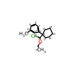 CCOC(Cl)C1(c2cccc(C)c2)CCCCC1